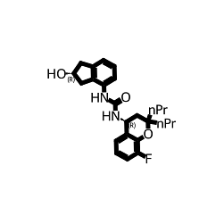 CCCC1(CCC)C[C@@H](NC(=O)Nc2cccc3c2C[C@H](O)C3)c2cccc(F)c2O1